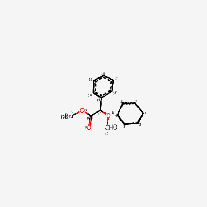 C1CCCCC1.CCCCOC(=O)C(OC=O)c1ccccc1